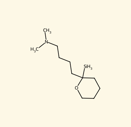 CN(C)CCCCC1([SiH3])CCCCO1